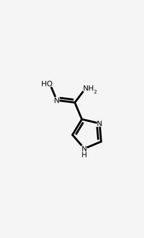 NC(=NO)c1c[nH]cn1